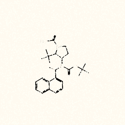 C[C@H](c1cccc2ccccc12)N(C(=O)OC(C)(C)C)C1CCN(C(=O)O)C1C(C)(C)C